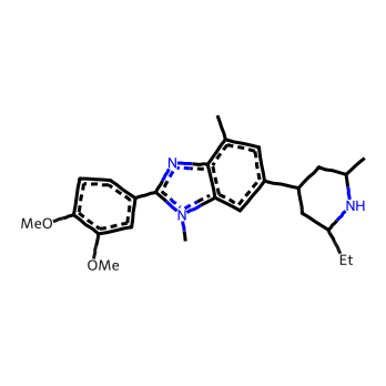 CCC1CC(c2cc(C)c3nc(-c4ccc(OC)c(OC)c4)n(C)c3c2)CC(C)N1